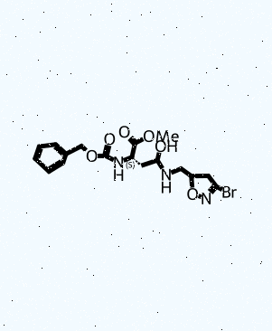 COC(=O)[C@H](CC(O)NCC1CC(Br)=NO1)NC(=O)OCc1ccccc1